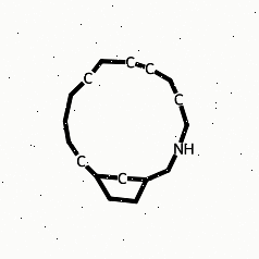 C1CCCCCNC[C]2CCC(CCCCC1)C2